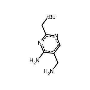 CC(C)(C)Cc1ncc(CN)c(N)n1